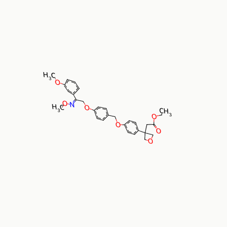 CCOC(=O)CC1(c2ccc(OCc3ccc(OCC(=NOC)c4cccc(OC)c4)cc3)cc2)COC1